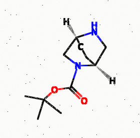 CC(C)(C)OC(=O)N1C[C@@H]2CC[C@H]1CN2